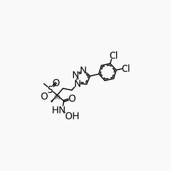 C[C@@](CCn1cc(-c2ccc(Cl)c(Cl)c2)nn1)(C(=O)NO)S(C)(=O)=O